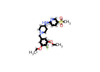 CCOc1cc(CN2CCC(Nc3ccc(S(C)(=O)=O)cn3)CC2)cc(OCC)c1F